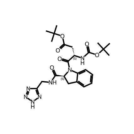 CC(C)(C)OC(=O)C[C@H](NC(=O)OC(C)(C)C)C(=O)N1c2ccccc2C[C@H]1C(=O)NCc1nn[nH]n1